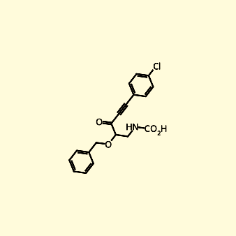 O=C(O)NCC(OCc1ccccc1)C(=O)C#Cc1ccc(Cl)cc1